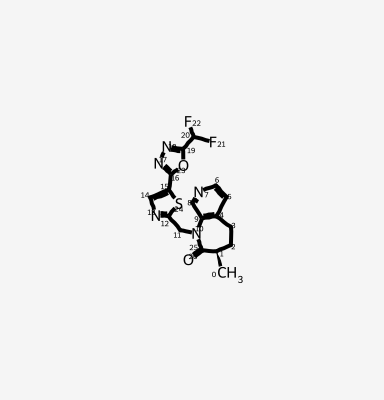 C[C@@H]1CCc2ccncc2N(Cc2ncc(-c3nnc(C(F)F)o3)s2)C1=O